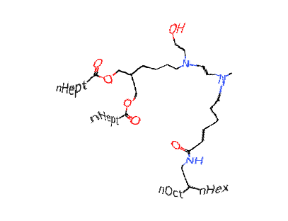 CCCCCCCCC(CCCCCC)CNC(=O)CCCCCN(C)CCN(CCO)CCCCC(COC(=O)CCCCCCC)COC(=O)CCCCCCC